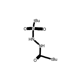 CC(C)(C)C(=O)NNS(=O)(=O)C(C)(C)C